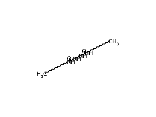 CCCCCCCCCCCCCCCCNC(=O)CCNCCCNCCC(=O)NCCCCCCCCCCCCCCCC